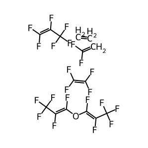 C=C.C=C(F)F.FC(F)=C(F)C(F)(F)F.FC(F)=C(F)F.FC(OC(F)=C(F)C(F)(F)F)=C(F)C(F)(F)F